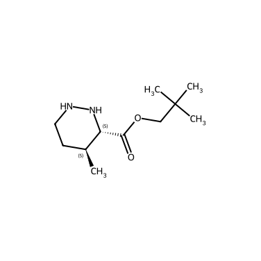 C[C@H]1CCNN[C@@H]1C(=O)OCC(C)(C)C